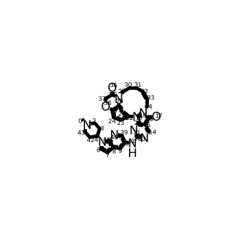 CN1CCC(n2ccc3cc(Nc4ncc5c(=O)n6n(c5n4)-c4ccc5c(c4)N(CCC/C=C\C6)C(=O)CO5)cnc32)CC1